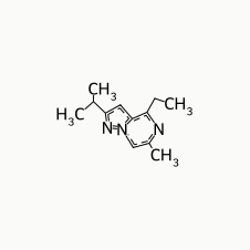 CCc1nc(C)cn2nc(C(C)C)cc12